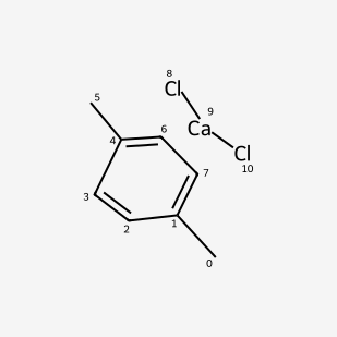 Cc1ccc(C)cc1.[Cl][Ca][Cl]